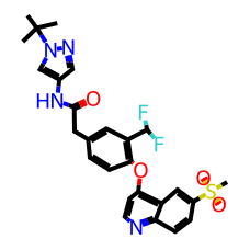 CC(C)(C)n1cc(NC(=O)Cc2ccc(Oc3ccnc4ccc(S(C)(=O)=O)cc34)c(C(F)F)c2)cn1